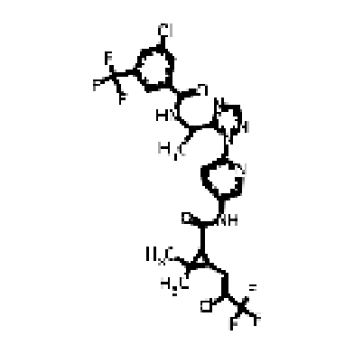 CC(NC(=O)c1cc(Cl)cc(C(F)(F)F)c1)c1ncnn1-c1ccc(NC(=O)C2C(/C=C(\Cl)C(F)(F)F)C2(C)C)cn1